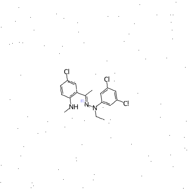 CCN(/N=C(\C)c1cc(Cl)ccc1NC)c1cc(Cl)cc(Cl)c1